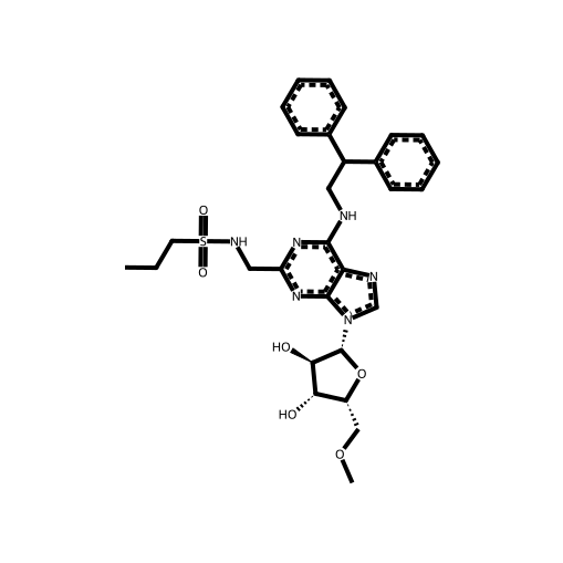 CCCS(=O)(=O)NCc1nc(NCC(c2ccccc2)c2ccccc2)c2ncn([C@@H]3O[C@H](COC)[C@H](O)[C@H]3O)c2n1